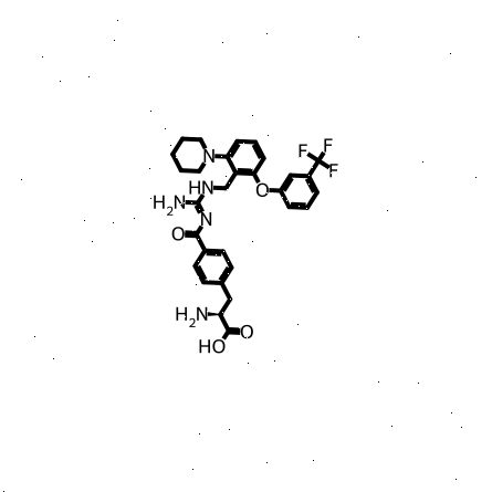 N/C(=N\C(=O)c1ccc(C[C@H](N)C(=O)O)cc1)NCc1c(Oc2cccc(C(F)(F)F)c2)cccc1N1CCCCC1